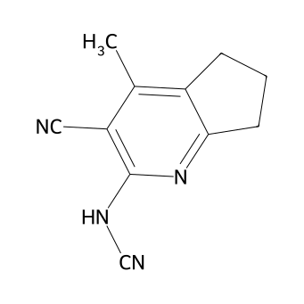 Cc1c(C#N)c(NC#N)nc2c1CCC2